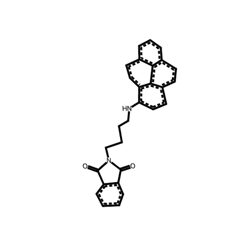 O=C1c2ccccc2C(=O)N1CCCCNc1ccc2ccc3cccc4ccc1c2c34